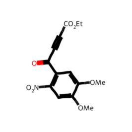 CCOC(=O)C#CC(=O)c1cc(OC)c(OC)cc1[N+](=O)[O-]